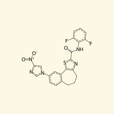 O=C(Nc1c(F)cccc1F)c1nc2c(s1)-c1cc(-n3cnc([N+](=O)[O-])c3)ccc1CCC2